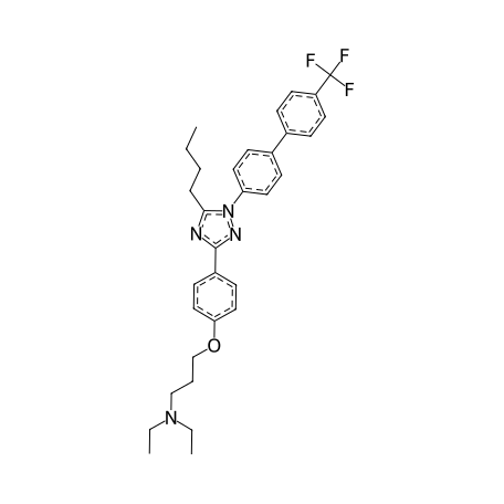 CCCCc1nc(-c2ccc(OCCCN(CC)CC)cc2)nn1-c1ccc(-c2ccc(C(F)(F)F)cc2)cc1